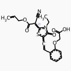 C=CCOC(=O)/C(C#N)=c1\sc(=C=Cc2ccccc2OCC(=O)O)c(=O)n1CC